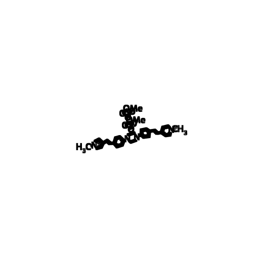 COS(=O)(=O)[O-].COS(=O)(=O)[O-].C[n+]1ccc(C=Cc2ccc(N3CCN(c4ccc(C=Cc5cc[n+](C)cc5)cc4)CC3)cc2)cc1